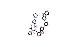 CCC12C(c3ccccc3)=C(C)C(C)C(c3ccc(C4=CCCC=C4)cc3)=NC1C2c1cccc2oc3cc(-c4cccc(-c5ccc6sc7ccccc7c6c5)c4)ccc3c12